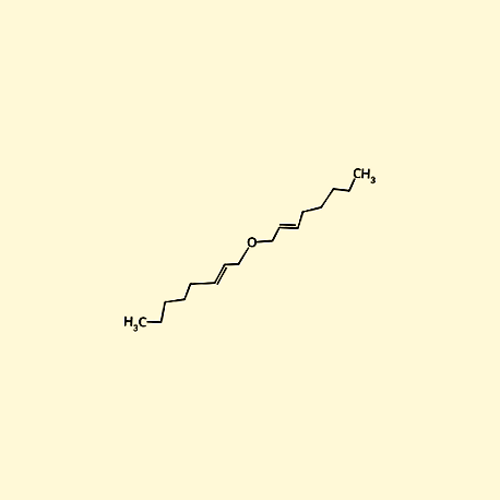 CCCCCC=CCOCC=CCCCCC